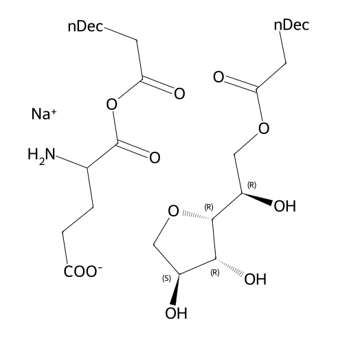 CCCCCCCCCCCC(=O)OC(=O)C(N)CCC(=O)[O-].CCCCCCCCCCCC(=O)OC[C@@H](O)[C@H]1OC[C@H](O)[C@H]1O.[Na+]